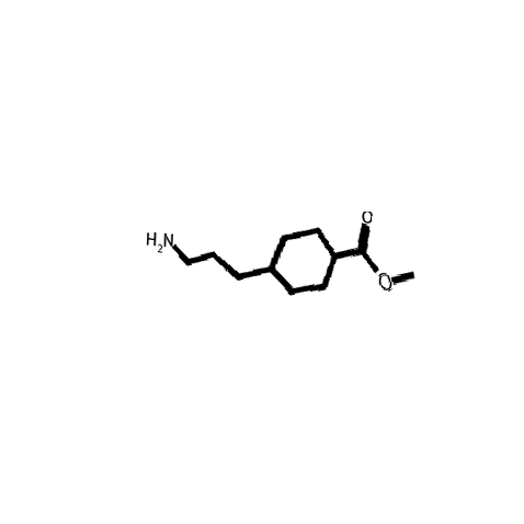 COC(=O)C1CCC(CCCN)CC1